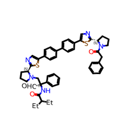 CCC(CC)C(=O)N[C@@](C=O)(CN1CCC[C@H]1c1ncc(-c2ccc(-c3ccc(-c4cnc([C@@H]5CCCN5C(=O)Cc5ccccc5)s4)cc3)cc2)s1)c1ccccc1